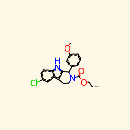 CCCOC(=O)N1CCc2c([nH]c3ccc(Cl)cc23)C1c1cccc(OC)c1